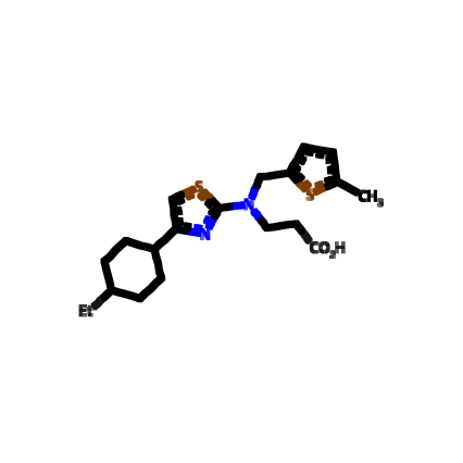 CCC1CCC(c2csc(N(CCC(=O)O)Cc3ccc(C)s3)n2)CC1